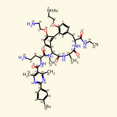 CC(=O)NCCOc1ccc2cc1-c1cc(ccc1OCCN)C(N(C)C(=O)C(CCN)NC(=O)c1c(C)nc(-c3ccc(C(C)(C)C)cc3)nc1C)C(=O)NC(C)C(=O)NC(C(=O)NCC#N)C2